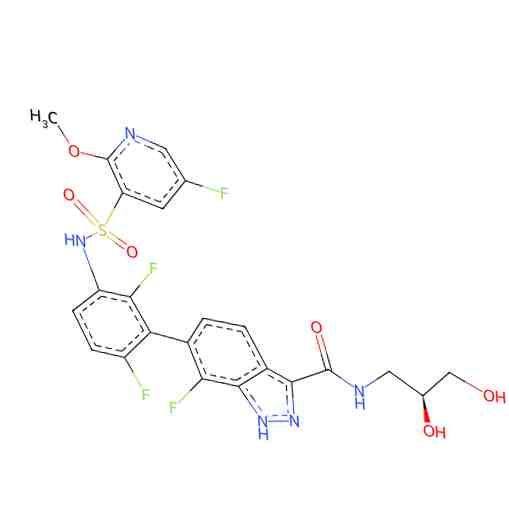 COc1ncc(F)cc1S(=O)(=O)Nc1ccc(F)c(-c2ccc3c(C(=O)NC[C@H](O)CO)n[nH]c3c2F)c1F